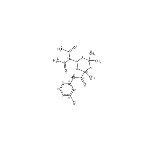 CC(=O)N(C(C)=O)C1CC(C)(C)CC(C)(C(=O)Nc2cccc(Cl)c2)C1